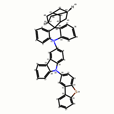 c1ccc2c(c1)N(c1ccc3c(c1)c1ccccc1n3-c1ccc3sc4ccccc4c3c1)c1ccccc1C21C2CC3C[C@H](C2)C[C@H]1C3